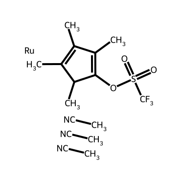 CC#N.CC#N.CC#N.CC1=C(C)C(C)C(OS(=O)(=O)C(F)(F)F)=C1C.[Ru]